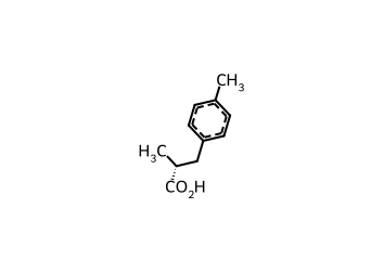 Cc1ccc(C[C@@H](C)C(=O)O)cc1